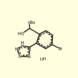 CCCCC(O)c1ccc(Br)cc1-c1nnn[nH]1.[LiH]